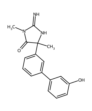 CN1C(=N)NC(C)(c2cccc(-c3cccc(O)c3)c2)C1=O